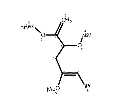 C=C(OCCCCCC)C(C/C(=C/C(C)C)OC)OCCCC